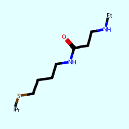 CCNCCC(=O)NCCCCSC(C)C